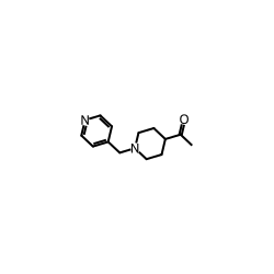 CC(=O)C1CCN(Cc2ccncc2)CC1